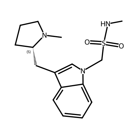 CNS(=O)(=O)Cn1cc(C[C@@H]2CCCN2C)c2ccccc21